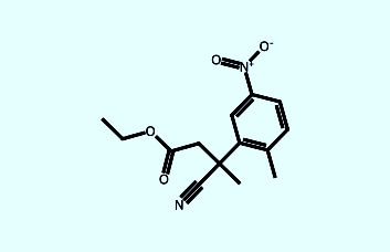 CCOC(=O)CC(C)(C#N)c1cc([N+](=O)[O-])ccc1C